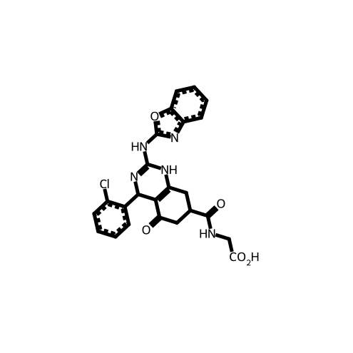 O=C(O)CNC(=O)C1CC(=O)C2=C(C1)NC(Nc1nc3ccccc3o1)=NC2c1ccccc1Cl